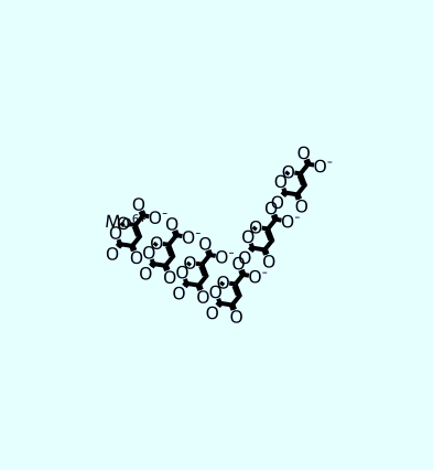 O=C([O-])c1cc(=O)c(=O)oo1.O=C([O-])c1cc(=O)c(=O)oo1.O=C([O-])c1cc(=O)c(=O)oo1.O=C([O-])c1cc(=O)c(=O)oo1.O=C([O-])c1cc(=O)c(=O)oo1.O=C([O-])c1cc(=O)c(=O)oo1.[Mo+6]